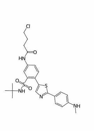 CNc1ccc(-c2ncc(-c3ccc(NC(=O)CCCCl)cc3S(=O)(=O)NC(C)(C)C)s2)cc1